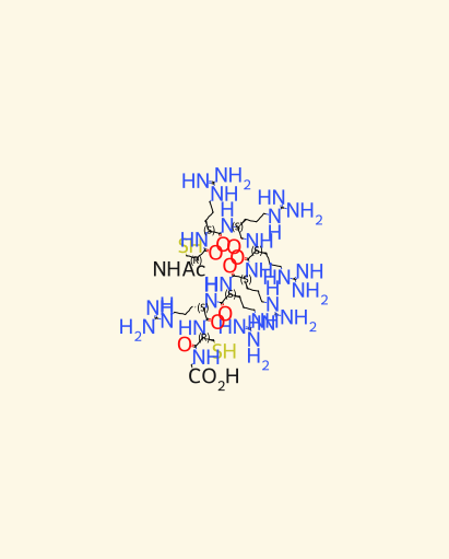 CC(=O)N[C@@H](CS)C(=O)N[C@@H](CCCNC(=N)N)C(=O)N[C@@H](CCCNC(=N)N)C(=O)N[C@@H](CCCNC(=N)N)C(=O)N[C@@H](CCCNC(=N)N)C(=O)N[C@@H](CCCNC(=N)N)C(=O)N[C@@H](CCCNC(=N)N)C(=O)N[C@@H](CS)C(=O)NCC(=O)O